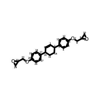 C1=CC(c2ccc(OCC3CO3)cc2)CCC1c1ccc(OCC2CO2)cc1